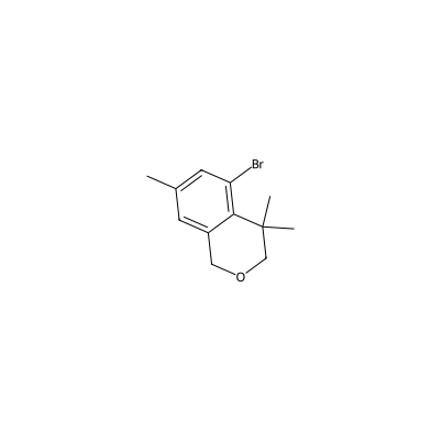 Cc1cc(Br)c2c(c1)COCC2(C)C